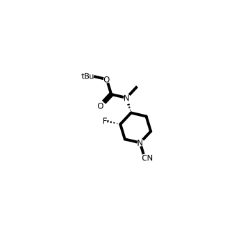 CN(C(=O)OC(C)(C)C)[C@@H]1CCN(C#N)C[C@@H]1F